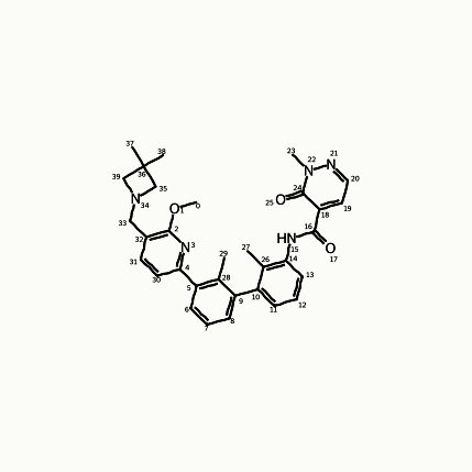 COc1nc(-c2cccc(-c3cccc(NC(=O)c4ccnn(C)c4=O)c3C)c2C)ccc1CN1CC(C)(C)C1